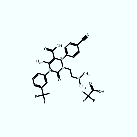 CC1=C(C(=O)O)[C@@H](c2ccc(C#N)cc2)N(CCN(C)C)C(=O)N1c1cccc(C(F)(F)F)c1.O=C(O)C(F)(F)F